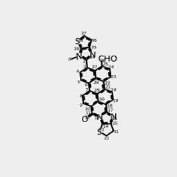 Cn1c(-c2ccc3c4ccc5c(=O)n6c7c(nc6c6ccc(c8ccc(C=O)c2c38)c4c56)CCS7)nc2ccsc21